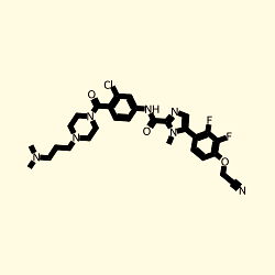 CN(C)CCCN1CCN(C(=O)c2ccc(NC(=O)c3ncc(-c4ccc(OCC#N)c(F)c4F)n3C)cc2Cl)CC1